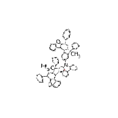 CC1(c2ccccc2)c2cc(N(c3ccc4c(c3)C(C)(c3ccccc3)c3cc(-c5ccccc5)c5oc6ccccc6c5c3-4)c3ccccc3-c3ccccc3)ccc2-c2c1cc(-c1ccccc1)c1oc3ccccc3c21